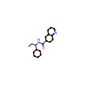 CCC(NC(=O)c1ccc2ncccc2c1)c1ccccc1